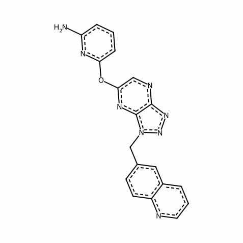 Nc1cccc(Oc2cnc3nnn(Cc4ccc5ncccc5c4)c3n2)n1